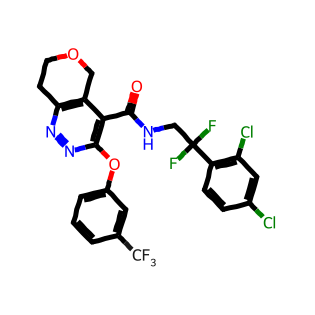 O=C(NCC(F)(F)c1ccc(Cl)cc1Cl)c1c(Oc2cccc(C(F)(F)F)c2)nnc2c1COCC2